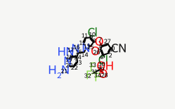 N#Cc1cc(Cl)cc(Oc2c(Cl)ccn(Cc3n[nH]c4nc(N)ccc34)c2=O)c1.O=C(O)C(F)(F)F